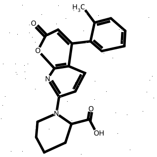 Cc1ccccc1-c1cc(=O)oc2nc(N3CCCCC3C(=O)O)ccc12